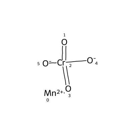 [Mn+2].[O]=[Cr](=[O])([O-])[O-]